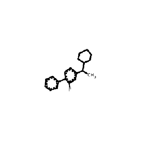 CC(c1ccc(-c2ccccc2)c(F)c1)C1CCCCC1